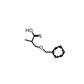 CC(COCc1ccccc1)C(O)=S